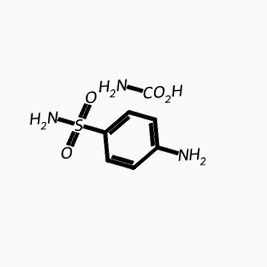 NC(=O)O.Nc1ccc(S(N)(=O)=O)cc1